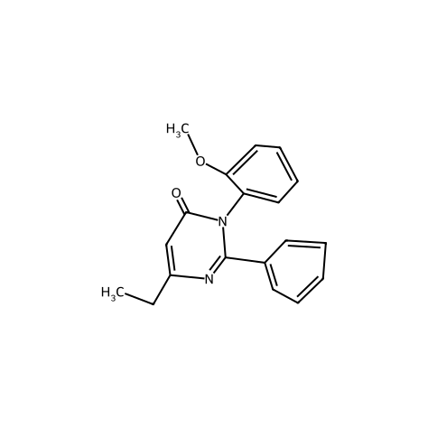 CCc1cc(=O)n(-c2ccccc2OC)c(-c2ccccc2)n1